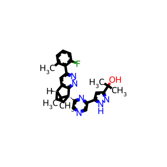 Cc1cccc(F)c1-c1cc2c(nn1)[C@@]1(c3cncc(-c4cc(C(C)(C)O)n[nH]4)n3)CC[C@@H]2C1(C)C